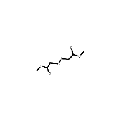 COC(Cl)CSSCC(Cl)OC